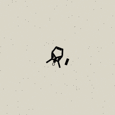 C=C.CC1=C2C=CC(=C1C)C2=O